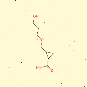 O=C(O)[C@H]1CC1COCCCO